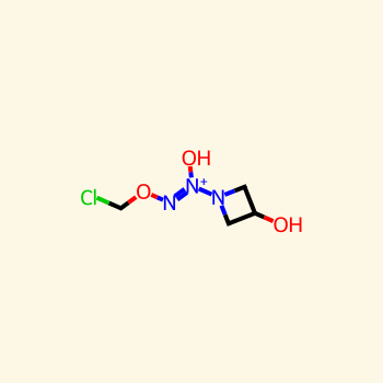 OC1CN(/[N+](O)=N/OCCl)C1